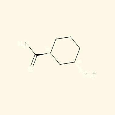 NC(=O)[C@H]1CCC[C@H](C(=O)O)C1